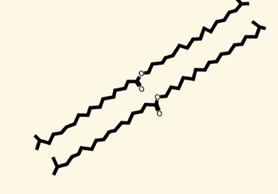 CC(C)CCCCCCCCCCCCCCCOC(=O)CCCCCCCCCCCCCCC(C)C.CC(C)CCCCCCCCCCCCCCCOC(=O)CCCCCCCCCCCCCCC(C)C